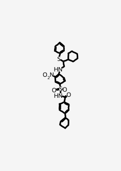 O=C(NS(=O)(=O)c1ccc(NCC(Sc2ccccc2)C2CCCCC2)c([N+](=O)[O-])c1)c1ccc(C2=CCCCC2)cc1